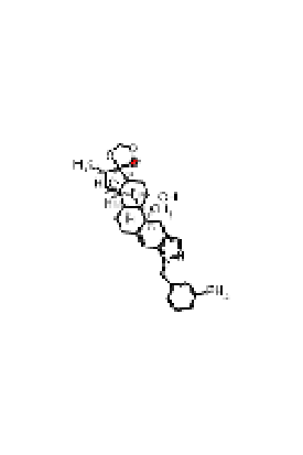 C[C@@H]1C[C@H]2[C@@H]3CCC4=Cc5c(cnn5Cc5cccc(P)c5)C[C@]4(C)[C@@]3(F)[C@@H](O)C[C@]2(C)[C@]12OCOC21COCO1